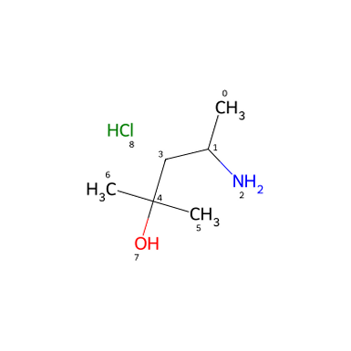 CC(N)CC(C)(C)O.Cl